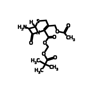 CC(=O)OCC1=C(C(=O)OCOC(=O)C(C)(C)C)N2C(=O)C(N)[C@@H]2SC1